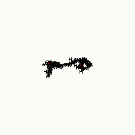 CCCCCC(=O)Nc1cccc(CN(Cc2cc(CN(Cc3cccc(NC(=O)CCCCC)n3)Cc3ncc[nH]3)cc(OCCCCN(Cc3ccc(-c4ccccc4)cc3)C(=O)COCCOCCOCC(=O)NCc3ccc(CNC(=O)CCSSCCC(=O)N(C)[C@H](C)C(=O)O[C@@H]4CC(=O)N(C)c5cc(cc(OC)c5Cl)C/C(C)=C/C=C/[C@H](OC)[C@]5(O)C[C@@H](OC(=O)N5)[C@H](C)[C@H]5O[C@@]54C)cc3)c2)Cc2ncc[nH]2)n1